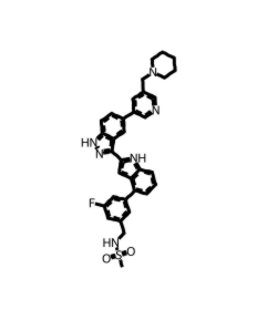 CS(=O)(=O)NCc1cc(F)cc(-c2cccc3[nH]c(-c4n[nH]c5ccc(-c6cncc(CN7CCCCC7)c6)cc45)cc23)c1